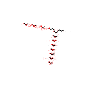 CCCCCCCCCCCCCCOCCCCCCCCCCCCCC.OCC(O)CO.OCC(O)CO.OCC(O)CO.OCC(O)CO.OCC(O)CO.OCC(O)CO.OCC(O)CO.OCC(O)CO.OCC(O)CO.OCC(O)CO.OCC(O)CO